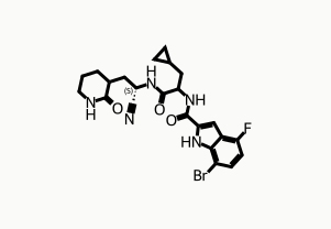 N#C[C@H](CC1CCCNC1=O)NC(=O)C(CC1CC1)NC(=O)c1cc2c(F)ccc(Br)c2[nH]1